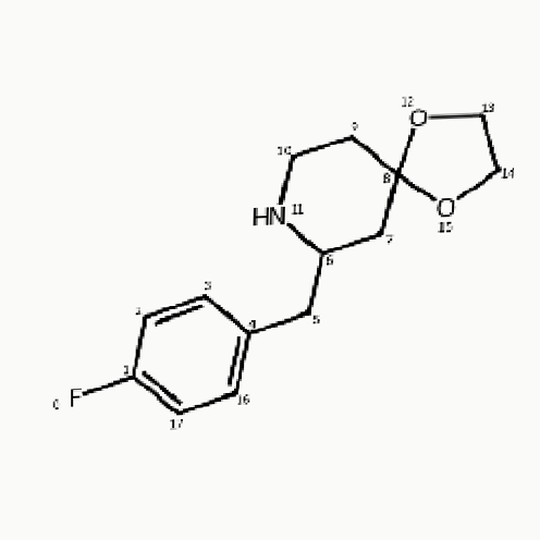 Fc1ccc(CC2CC3(CCN2)OCCO3)cc1